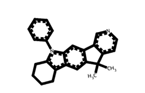 CC1(C)c2ccncc2-c2cc3c(cc21)c1c(n3-c2ccccc2)CCCC1